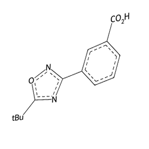 CC(C)(C)c1nc(-c2cccc(C(=O)O)c2)no1